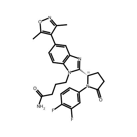 Cc1noc(C)c1-c1ccc2c(c1)nc([C@@H]1CCC(=O)N1c1ccc(F)c(F)c1)n2CCCC(N)=O